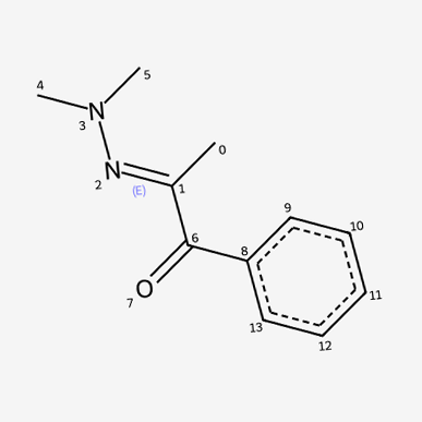 C/C(=N\N(C)C)C(=O)c1ccccc1